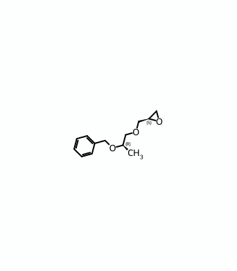 C[C@H](COC[C@H]1CO1)OCc1ccccc1